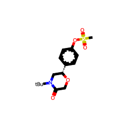 CC(C)(C)N1C[C@H](c2ccc(OS(C)(=O)=O)cc2)OCC1=O